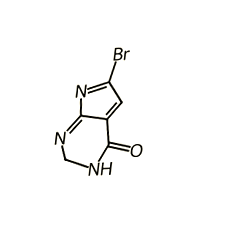 O=C1NCN=C2N=C(Br)C=C12